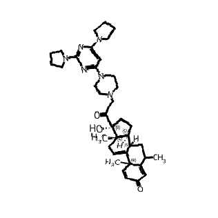 CC1C[C@@H]2C(=CC[C@@]3(C)[C@H]2CC[C@]3(O)C(=O)CN2CCN(c3cc(N4CCCC4)nc(N4CCCC4)n3)CC2)[C@@]2(C)C=CC(=O)C=C12